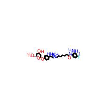 Nc1cc(F)ccc1NC(=O)CCCCCCN1C=C(c2ccc(O[C@@H]3C[C@@H](O)C[C@@H](CO)O3)cc2)NN1